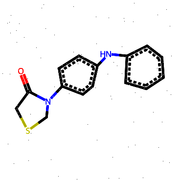 O=C1CSCN1c1ccc(Nc2ccccc2)cc1